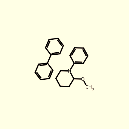 COC1CCCCN1c1ccccc1.c1ccc(-c2ccccc2)cc1